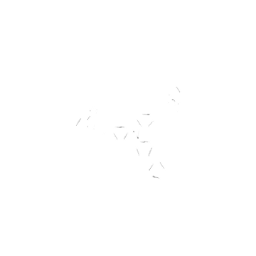 C=C(C)C(=O)OCCc1ccc(N(c2ccc(CCOC(=O)C(=C)C)cc2)c2ccc(-c3ccccc3)cc2)cc1